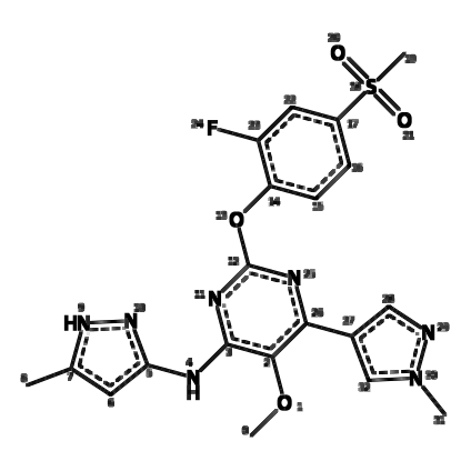 COc1c(Nc2cc(C)[nH]n2)nc(Oc2ccc(S(C)(=O)=O)cc2F)nc1-c1cnn(C)c1